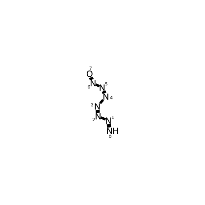 N=N/N=N\N=N/N=O